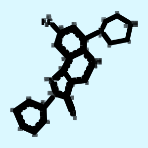 O=c1c2c[nH]c3c(N4CCNCC4)cc(C(F)(F)F)cc3c-2nn1-c1ccccc1